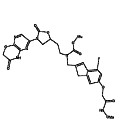 CONC(=O)COc1cc(F)c2c(c1)CC(CN(CCC1CN(c3cnc4c(n3)NC(=O)CO4)C(=O)O1)C(=O)OC(C)(C)C)=C2